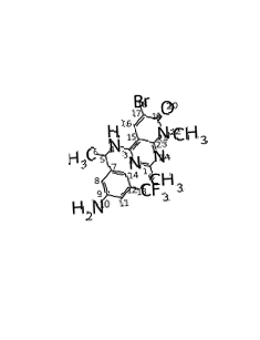 Cc1nc(NC(C)c2cc(N)cc(C(F)(F)F)c2)c2cc(Br)c(=O)n(C)c2n1